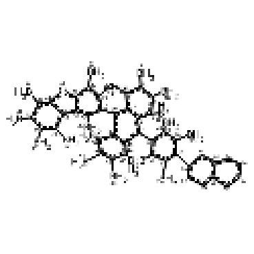 Bc1c(B)c(-c2c3c(B)c(B)c(B)c(B)c3c(-c3c(B)c(B)c4oc5c(B)c(B)c(B)c(B)c5c4c3B)c3c(B)c(B)c(B)c(B)c23)c(B)c(B)c1-c1ccc2ccccc2c1